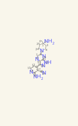 CC1(N)CCN(c2cnc3c(-c4ccnc(N)c4C#N)n[nH]c3n2)CC1